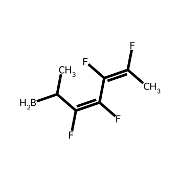 BC(C)/C(F)=C(F)\C(F)=C(/C)F